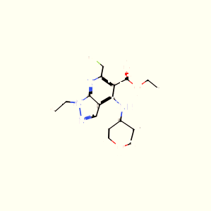 CCOC(=O)c1c(CF)nc2c(cnn2CC)c1NC1CCOCC1